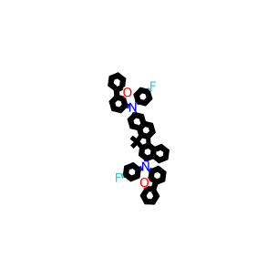 CC1(C)c2cc(N(c3ccc(F)cc3)c3cccc4c3oc3ccccc34)c3ccccc3c2-c2ccc3cc(N(c4ccc(F)cc4)c4cccc5c4oc4ccccc45)ccc3c21